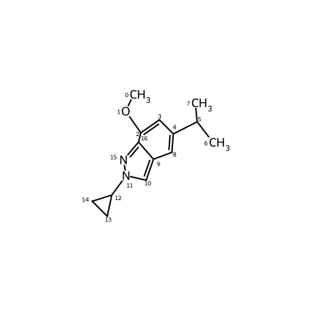 COc1cc(C(C)C)cc2cn(C3CC3)nc12